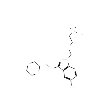 C[Si](C)(C)CCOCn1nc(OC[C@H]2COCCO2)c2cc(Br)cnc21